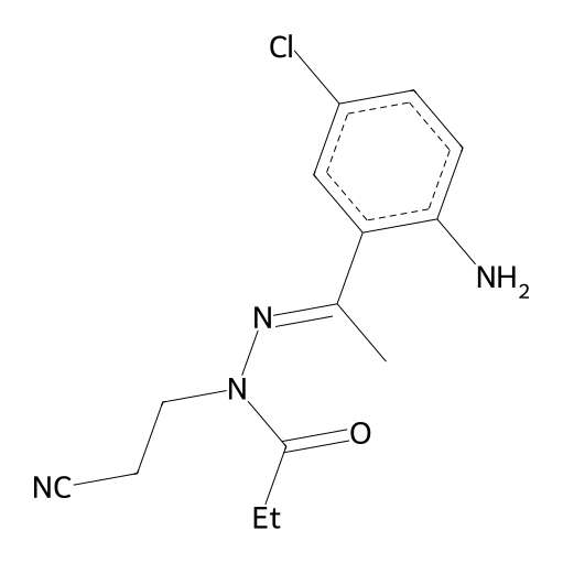 CCC(=O)N(CCC#N)/N=C(\C)c1cc(Cl)ccc1N